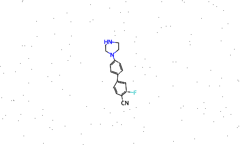 N#Cc1ccc(-c2ccc(N3CCNCC3)cc2)cc1F